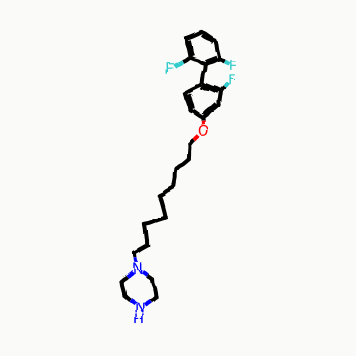 Fc1cc(OCCCCCCCCCN2CCNCC2)ccc1-c1c(F)cccc1F